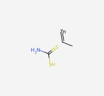 C[CH]=[Zn].NC(=S)S